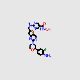 CN(Cc1cc2nc(N3CCOC(c4ccc(N)c(F)c4)C3)ncc2s1)c1ncc(C(=O)NO)cn1